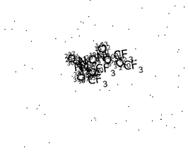 FC(F)(F)c1ccc(-c2ccc3c(c2)c2ccccc2n3-c2ccc(-c3nc(-c4ccccc4)nc(-c4ccccc4)n3)c(-c3ccc(C(F)(F)F)cc3C(F)(F)F)c2)c(C(F)(F)F)c1